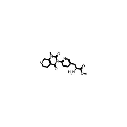 COC(=O)[C@@H](N)Cc1ccc(-n2c(=O)c3c(n(C)c2=O)COCC3)nc1